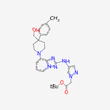 Cc1ccc(C2(CO)CCN(c3cccn4nc(Nc5cnn(CC(=O)OC(C)(C)C)c5)nc34)CC2)cc1